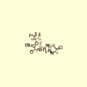 CC(C)(C)OC(=O)NC(COC(C)(CF)C(F)F)c1cn2ncc(Cl)cc2n1